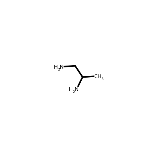 C[C](N)CN